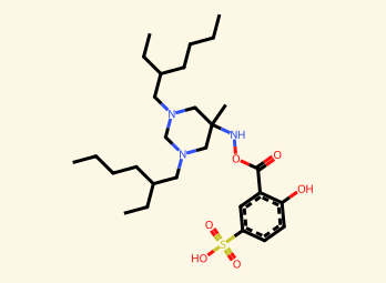 CCCCC(CC)CN1CN(CC(CC)CCCC)CC(C)(NOC(=O)c2cc(S(=O)(=O)O)ccc2O)C1